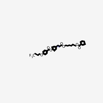 O=C(/C=C/c1ccc(OC(=O)c2ccc(OCCCC(F)(F)F)cc2)cc1)OCCCCCCOC(=O)c1ccccc1